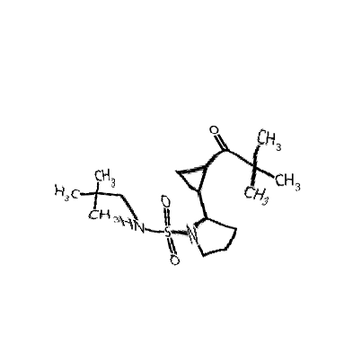 CC(C)(C)CNS(=O)(=O)N1CCCC1C1CC1C(=O)C(C)(C)C